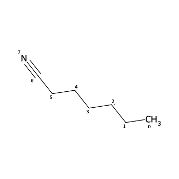 CC[CH]CCCC#N